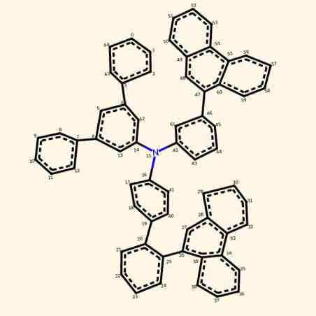 c1ccc(-c2cc(-c3ccccc3)cc(N(c3ccc(-c4ccccc4-c4cc5ccccc5c5ccccc45)cc3)c3cccc(-c4cc5ccccc5c5ccccc45)c3)c2)cc1